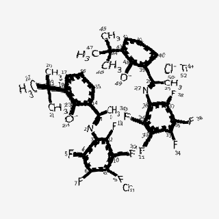 C/C(=N\c1c(F)c(F)c(F)c(F)c1F)c1cccc(C(C)(C)C)c1[O-].C/C(=N\c1c(F)c(F)c(F)c(F)c1F)c1cccc(C(C)(C)C)c1[O-].[Cl-].[Cl-].[Ti+4]